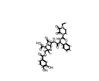 CCN1CCN(C(=O)NC(C(=O)NC2C(=O)N3C2SC(C)(COC(=O)c2ccc(O)c(O)c2)C3C(=O)O)c2ccccc2)C(=O)C1=O